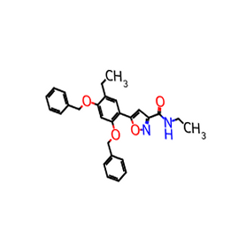 CCNC(=O)c1cc(-c2cc(CC)c(OCc3ccccc3)cc2OCc2ccccc2)on1